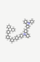 c1ccc(-c2ccccc2-c2ccc(-c3cccc(-c4cccc(-c5ccc(-c6ccc(-n7c8ccccc8c8cc(-c9ccc%10c(c9)c9ccccc9n%10-c9ccccc9)ccc87)cc6)cc5)c4)c3)cc2)cc1